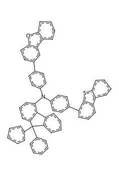 c1ccc(C2(c3ccccc3)c3ccccc3-c3c(N(c4ccc(-c5ccc6oc7ccccc7c6c5)cc4)c4ccc(-c5cccc6c5sc5ccccc56)cc4)cccc32)cc1